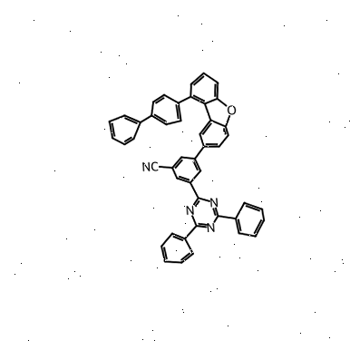 N#Cc1cc(-c2ccc3oc4cccc(-c5ccc(-c6ccccc6)cc5)c4c3c2)cc(-c2nc(-c3ccccc3)nc(-c3ccccc3)n2)c1